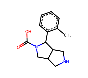 Cc1ccccc1C1C2CNCC2CN1C(=O)O